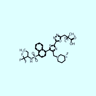 CCC(NS(=O)(=O)c1ccc(-c2sc(-c3nnc(CC(C)(C)C(=O)O)o3)nc2CN2CCC[C@@H](F)C2)c2ccccc12)C(F)(F)F